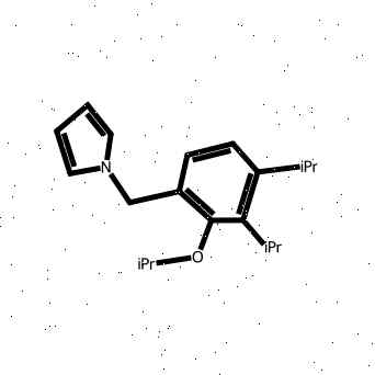 CC(C)Oc1c(Cn2cccc2)ccc(C(C)C)c1C(C)C